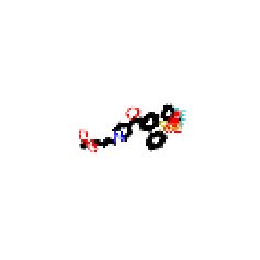 CC(=O)OCCCCN1CCC(C(=O)c2ccc(S(OS(=O)(=O)C(F)(F)F)(c3ccccc3)c3ccccc3)cc2)CC1